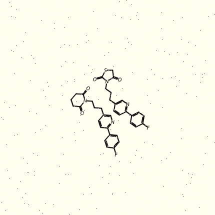 O=C1CCCC(=O)N1CCCc1ccc(-c2ccc(F)cc2)nc1.O=C1CSC(=O)N1CCCc1ccc(-c2ccc(F)cc2)nc1